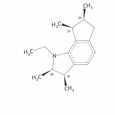 CCN1c2c(ccc3c2[C@@H](C)[C@@H](C)C3)[C@@H](C)[C@H]1C